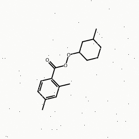 Cc1ccc(C(=O)OO[C]2CCCC(C)C2)c(C)c1